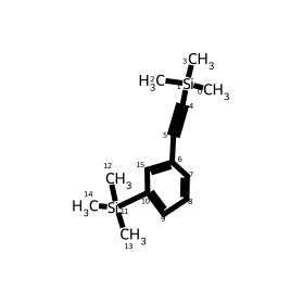 C[Si](C)(C)C#Cc1cccc([Si](C)(C)C)c1